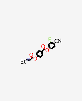 CC/C=C/C(=O)Oc1ccc(C(=O)Oc2ccc(C#N)c(F)c2)cc1